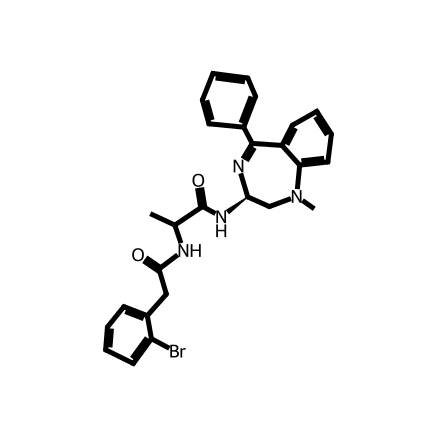 CC(NC(=O)Cc1ccccc1Br)C(=O)N[C@@H]1CN(C)c2ccccc2C(c2ccccc2)=N1